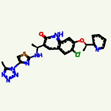 Cc1nnnn1-c1csc(N[C@@H](C)c2cc3cc(Cl)c(O[C@H](C)c4ccccn4)cc3[nH]c2=O)n1